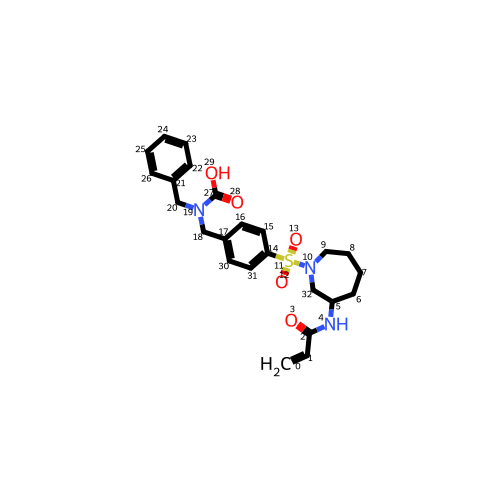 C=CC(=O)NC1CCCCN(S(=O)(=O)c2ccc(CN(Cc3ccccc3)C(=O)O)cc2)C1